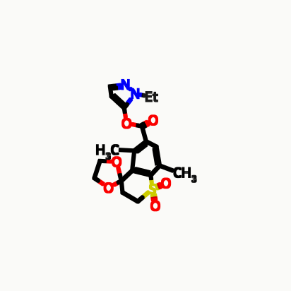 CCn1nccc1OC(=O)c1cc(C)c2c(c1C)C1(CCS2(=O)=O)OCCO1